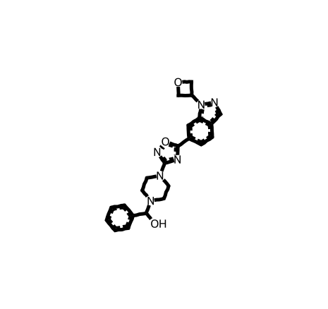 OC(c1ccccc1)N1CCN(c2noc(-c3ccc4cnn(C5COC5)c4c3)n2)CC1